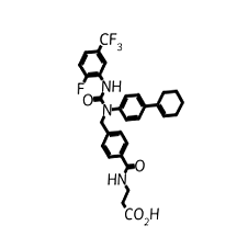 O=C(O)CCNC(=O)c1ccc(CN(C(=O)Nc2cc(C(F)(F)F)ccc2F)c2ccc(C3=CCCCC3)cc2)cc1